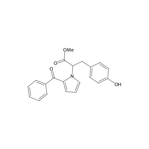 COC(=O)C(Cc1ccc(O)cc1)n1cccc1C(=O)c1ccccc1